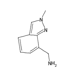 Cn1cc2cccc(CN)c2n1